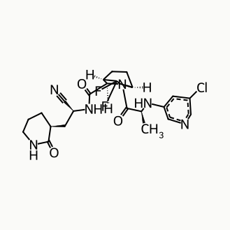 C[C@H](Nc1cncc(Cl)c1)C(=O)N1[C@@H]2CC[C@H]([C@@H]1C(=O)N[C@H](C#N)C[C@@H]1CCCNC1=O)C(F)(F)C2